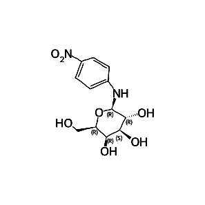 O=[N+]([O-])c1ccc(N[C@@H]2O[C@H](CO)[C@H](O)[C@H](O)[C@H]2O)cc1